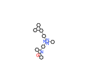 c1ccc(-c2nc(-c3ccc(-c4ccc5c6ccccc6c6ccccc6c5c4)cc3)nc(-c3ccc(-c4nc5c6ccccc6oc5c5ccccc45)cc3)n2)cc1